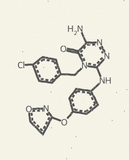 Nc1nnc(Nc2ccc(Oc3ccon3)cc2)n(Cc2ccc(Cl)cc2)c1=O